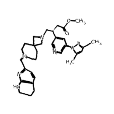 COC(=O)C[C@H](CN1CC2(CCN(Cc3ccc4c(n3)NCCC4)CC2)C1)c1cncc(-n2nc(C)cc2C)c1